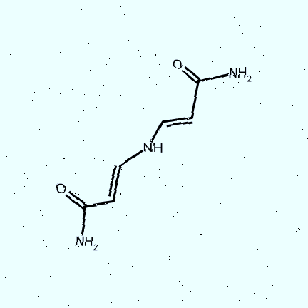 NC(=O)C=CNC=CC(N)=O